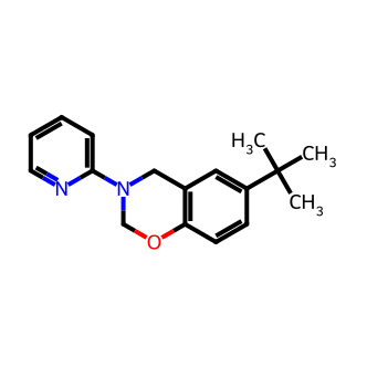 CC(C)(C)c1ccc2c(c1)CN(c1ccccn1)CO2